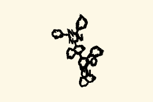 CC12C=CC=CC1C=CC=C2c1ccc(-c2ccc(-c3nc(-c4ccccc4)nc(-c4ccccc4)n3)c3ccccc23)c2c1oc1ccccc12